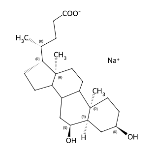 C[C@H](CCC(=O)[O-])[C@H]1CCC2C3C[C@H](O)[C@@H]4C[C@H](O)CC[C@]4(C)C3CC[C@@]21C.[Na+]